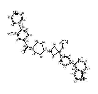 N#CCC1(n2cc(-c3ncnc4[nH]ccc34)cn2)CN(C2CCN(C(=O)c3ccc(-c4ccncc4)c(F)c3)CC2)C1